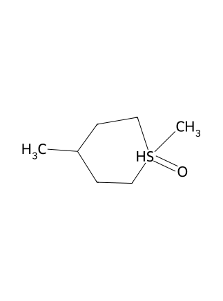 CC1CC[SH](C)(=O)CC1